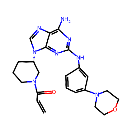 C=CC(=O)N1CCC[C@H](n2cnc3c(N)nc(Nc4cccc(N5CCOCC5)c4)nc32)C1